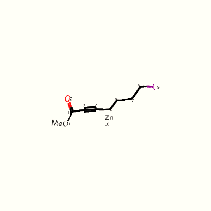 COC(=O)C#CCCCCI.[Zn]